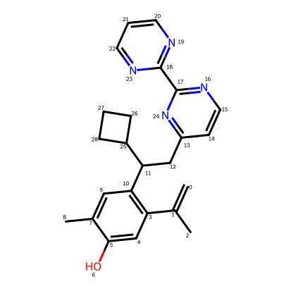 C=C(C)c1cc(O)c(C)cc1C(Cc1ccnc(-c2ncccn2)n1)C1CCC1